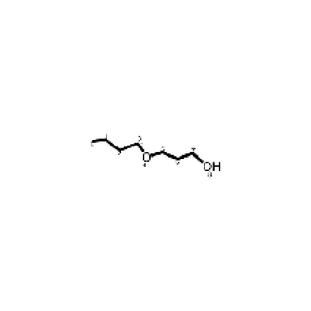 CCC[CH]OCCCO